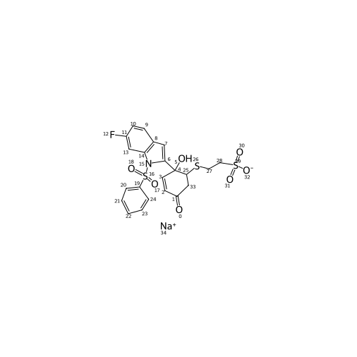 O=C1C=CC(O)(c2cc3ccc(F)cc3n2S(=O)(=O)c2ccccc2)C(SCCS(=O)(=O)[O-])C1.[Na+]